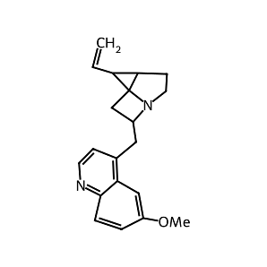 C=CC1C2CCN3C(Cc4ccnc5ccc(OC)cc45)CC123